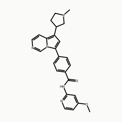 COc1ccnc(NC(=O)c2ccc(-c3cc(C4CCN(C)C4)c4ccncn34)cc2)c1